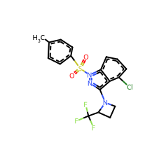 Cc1ccc(S(=O)(=O)n2nc(N3CCC3C(F)(F)F)c3c(Cl)cccc32)cc1